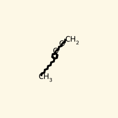 C=CCOCCCOc1ccc(CCCCCCCCC)cc1